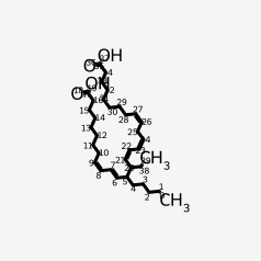 CCCCCC(/C=C/C=C\CCCCCCCC(=O)O)C(/C=C\C=C/C/C=C\CCCCCCCC(=O)O)CC